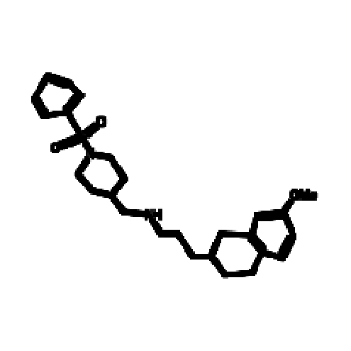 COc1ccc2c(c1)CC(CCCNCC1CCN(S(=O)(=O)c3ccccc3)CC1)CC2